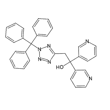 OC(Cc1nnn(C(c2ccccc2)(c2ccccc2)c2ccccc2)n1)(c1cccnc1)c1cccnc1